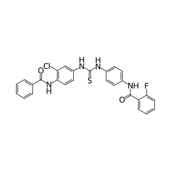 O=C(Nc1ccc(NC(=S)Nc2ccc(NC(=O)c3ccccc3F)cc2)cc1Cl)c1ccccc1